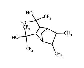 CC1C(C)C2CC1C(C(O)(C(F)(F)F)C(F)(F)F)C2C(O)(C(F)(F)F)C(F)(F)F